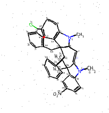 CN1/C(=C/C2N(C)c3ccc(Cl)cc3C2(Cc2ccccc2)Cc2ccccc2)C(C)(C)c2cc([N+](=O)[O-])ccc21